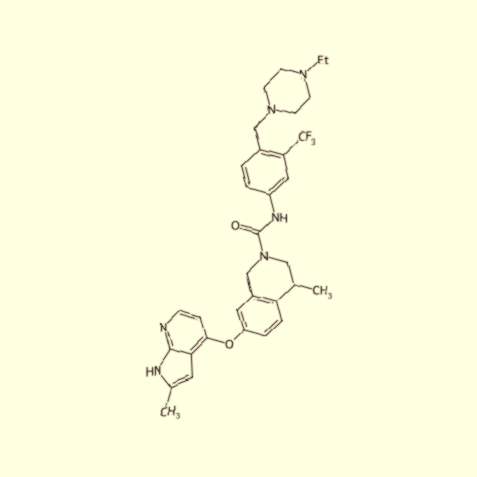 CCN1CCN(Cc2ccc(NC(=O)N3Cc4cc(Oc5ccnc6[nH]c(C)cc56)ccc4C(C)C3)cc2C(F)(F)F)CC1